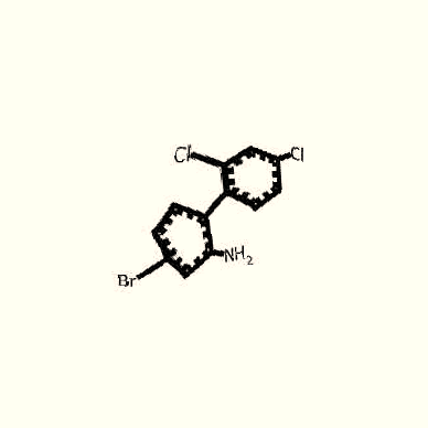 Nc1cc(Br)ccc1-c1ccc(Cl)cc1Cl